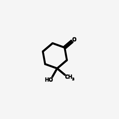 CC1(O)CCCC(=O)C1